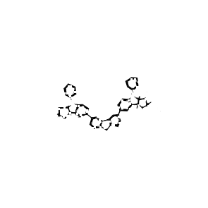 CC1(C)CC2(C)c3cc(-c4ccc5c(c4)-c4cc(-c6ccc7c(c6)C6(C)CC(C)(C)CC6(C)N7c6ccccc6)ccc4C5)ccc3N(c3ccccc3)C2(C)C1